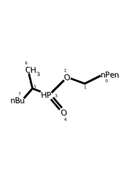 CCCCCCO[PH](=O)C(C)CCCC